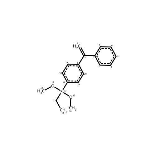 C=C(c1ccccc1)c1ccc([Si](CC)(OC)OC)cc1